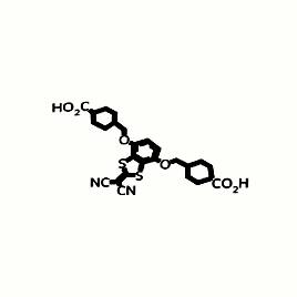 N#CC(C#N)=C1Sc2c(OCC3CCC(C(=O)O)CC3)ccc(OCC3CCC(C(=O)O)CC3)c2S1